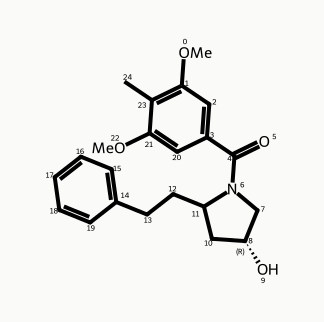 COc1cc(C(=O)N2C[C@H](O)CC2CCc2ccccc2)cc(OC)c1C